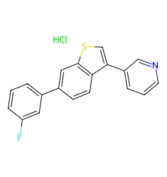 Cl.Fc1cccc(-c2ccc3c(-c4cccnc4)csc3c2)c1